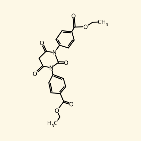 CCOC(=O)c1ccc(N2C(=O)CC(=O)N(c3ccc(C(=O)OCC)cc3)C2=O)cc1